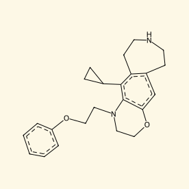 c1ccc(OCCN2CCOc3cc4c(c(C5CC5)c32)CCNCC4)cc1